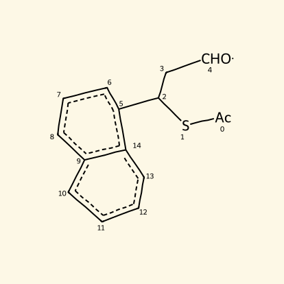 CC(=O)SC(C[C]=O)c1cccc2ccccc12